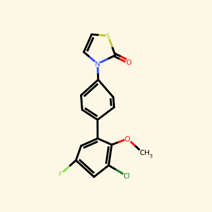 COc1c(Cl)cc(F)cc1-c1ccc(-n2ccsc2=O)cc1